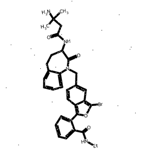 CCNC(=O)c1ccccc1-c1oc(Br)c2cc(CN3C(=O)C(NC(=O)CC(C)(C)N)CCc4ccccc43)ccc12